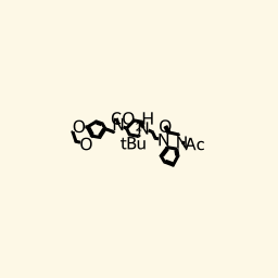 CC(=O)N1CC(=O)N(CCN2CCC(N(Cc3ccc4c(c3)OCCO4)C(=O)O)CC2C(C)(C)C)c2ccccc21